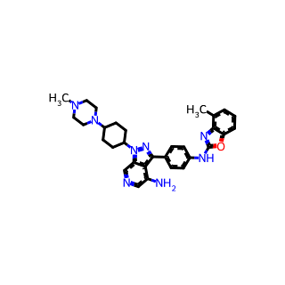 Cc1cccc2oc(Nc3ccc(-c4nn(C5CCC(N6CCN(C)CC6)CC5)c5cncc(N)c45)cc3)nc12